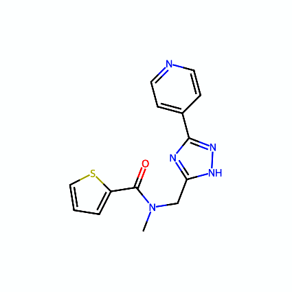 CN(Cc1nc(-c2ccncc2)n[nH]1)C(=O)c1cccs1